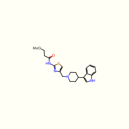 COCCC(=O)Nc1nc(CN2CCC(c3c[nH]c4ccccc34)CC2)cs1